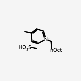 CCCCCCCCC[n+]1ccc(C)cc1.CS(=O)(=O)O